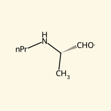 CCCN[C@@H](C)[C]=O